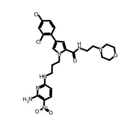 Nc1nc(NCCCn2cc(-c3ccc(Cl)cc3Cl)cc2C(=O)NCCN2CCOCC2)ccc1[N+](=O)[O-]